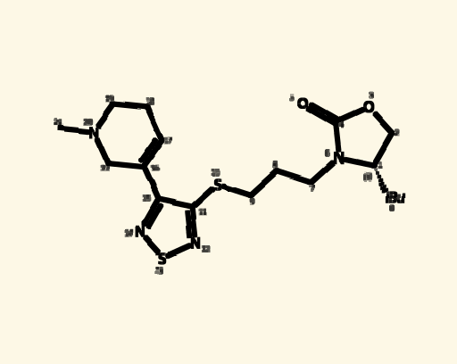 CCC(C)[C@H]1COC(=O)N1CCCSc1nsnc1C1=CCCN(C)C1